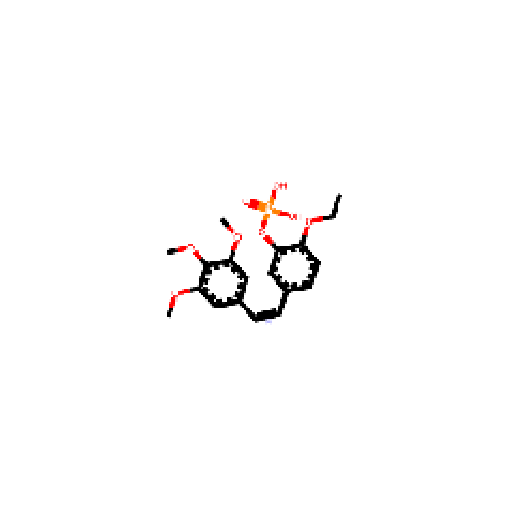 CCOc1ccc(/C=C\c2cc(OC)c(OC)c(OC)c2)cc1OP(=O)(O)O